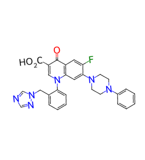 O=C(O)c1cn(-c2ccccc2Cn2cncn2)c2cc(N3CCN(c4ccccc4)CC3)c(F)cc2c1=O